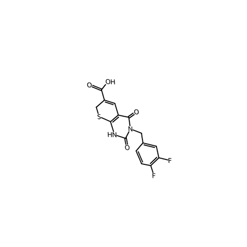 O=C(O)C1=Cc2c([nH]c(=O)n(Cc3ccc(F)c(F)c3)c2=O)SC1